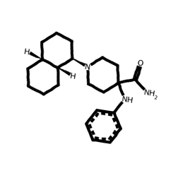 NC(=O)C1(Nc2ccccc2)CCN([C@@H]2CCC[C@H]3CCCC[C@H]32)CC1